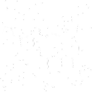 Cc1ccc(C=NNC(=O)c2cc(N3CCCC3=O)ccc2NC(=O)c2cccc(CN(CC(C)O)CC(C)O)c2)cc1C